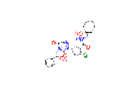 O=C(NCC1(O)CCCCCC1)c1cc(-n2ncc(=O)n(CC(O)c3ccccc3)c2=O)ccc1Cl